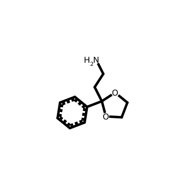 NCCC1(c2ccccc2)OCCO1